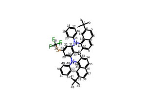 CC(C)(C)c1ccc2ccc3c(c2c1)N(c1ccccc1)c1cc(SC(F)(F)F)cc2c1B3c1ccc3ccc(C(C)(C)C)cc3c1N2c1ccccc1